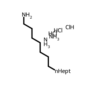 CCCCCCCCCCCCCCN.Cl.Cl.Cl.N.N